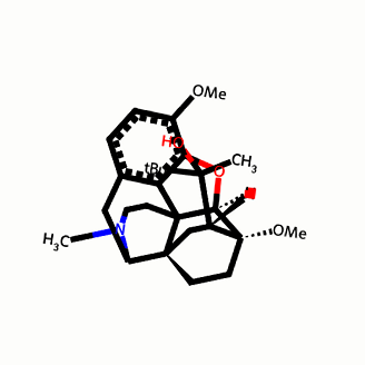 COc1ccc2c3c1O[C@@H]1C34CCN(C)C(C2)[C@]42CC[C@@]1(OC)[C@@H](C(C)(O)C(C)(C)C)C2